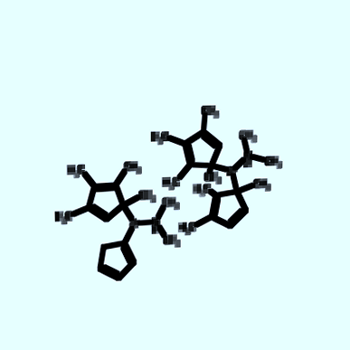 CC1=C[C](C)([Zr]([C]2=CC=CC2)[SiH](C)C)C(C)=C1C.CC1=C[C](C)([Zr]([SiH](C)C)[C]2(C)C=CC(C)=C2C)C(C)=C1C